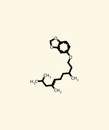 C/C(=C\CCC(C)CCOc1ccc2c(c1)OCO2)CC(C)C